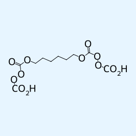 O=C(O)OOC(=O)OCCCCCCOC(=O)OOC(=O)O